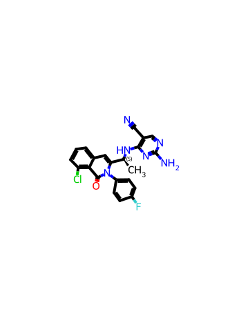 C[C@H](Nc1nc(N)ncc1C#N)c1cc2cccc(Cl)c2c(=O)n1-c1ccc(F)cc1